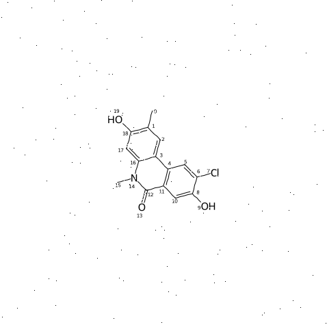 Cc1cc2c3cc(Cl)c(O)cc3c(=O)n(C)c2cc1O